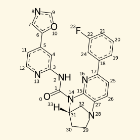 O=C(Nc1cc(-c2cnco2)ccn1)N1c2nc(-c3cccc(F)c3)ccc2N2CC[C@H]1C2